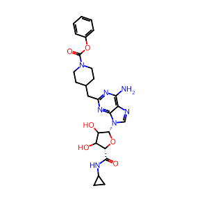 Nc1nc(CC2CCN(C(=O)Oc3ccccc3)CC2)nc2c1ncn2[C@@H]1O[C@H](C(=O)NC2CC2)C(O)C1O